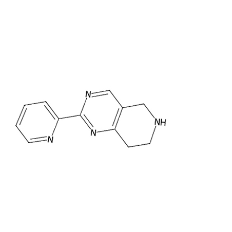 c1ccc(-c2ncc3c(n2)CCNC3)nc1